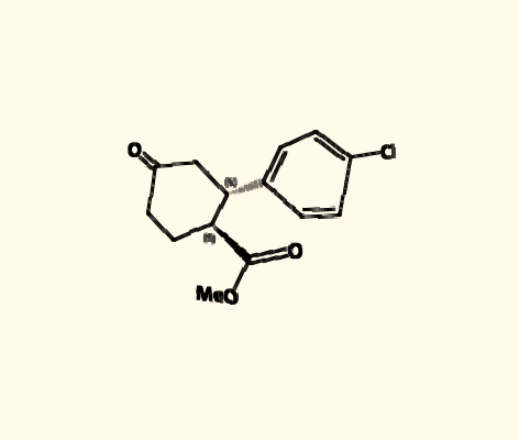 COC(=O)[C@H]1CCC(=O)C[C@@H]1c1ccc(Cl)cc1